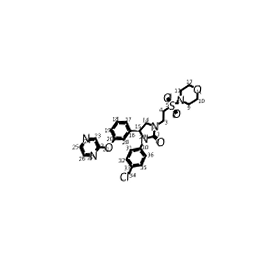 O=C1N(CCS(=O)(=O)N2CCOCC2)C[C@H](c2cccc(Oc3cnccn3)c2)N1c1ccc(Cl)cc1